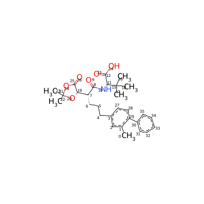 Cc1cc(CCC[C@@H](C(=O)N[C@H](C(=O)O)C(C)(C)C)[C@@H]2OC(C)(C)OC2=O)ccc1-c1ccccc1